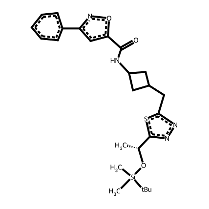 C[C@@H](O[Si](C)(C)C(C)(C)C)c1nnc(CC2CC(NC(=O)c3cc(-c4ccccc4)no3)C2)s1